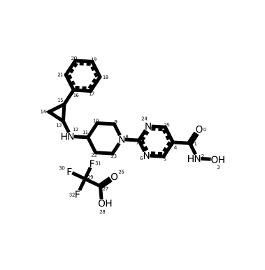 O=C(NO)c1cnc(N2CCC(NC3CC3c3ccccc3)CC2)nc1.O=C(O)C(F)(F)F